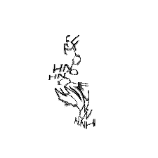 O=C(Nc1cccc(C(F)(F)F)c1)Nc1ccc(Nc2ncccc2-c2ncnc3[nH]cnc23)c(F)c1